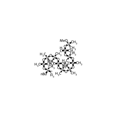 CCCC[Si](C)(C)O[Si](C)(C)O[Si](C)(C)O[Si](C)(C)O[Si](C)(C)O[Si](C)(C)O[Si](C)(C)O[Si](C)(C)O[Si](C)(C)O[Si](C)(C)O[Si](C)(C)OC